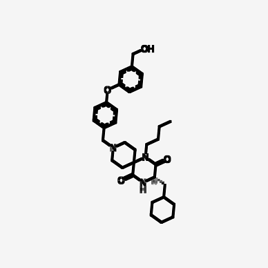 CCCCN1C(=O)[C@H](CC2CCCCC2)NC(=O)C12CCN(Cc1ccc(Oc3cccc(CO)c3)cc1)CC2